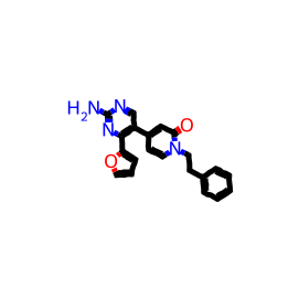 Nc1ncc(-c2ccn(CCc3ccccc3)c(=O)c2)c(-c2ccco2)n1